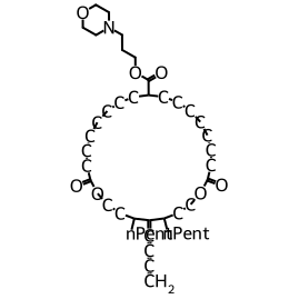 C=C=C=C=C1C(CCCCC)CCOC(=O)CCCCCCCC(C(=O)OCCCN2CCOCC2)CCCCCCCC(=O)OCCC1CCCCC